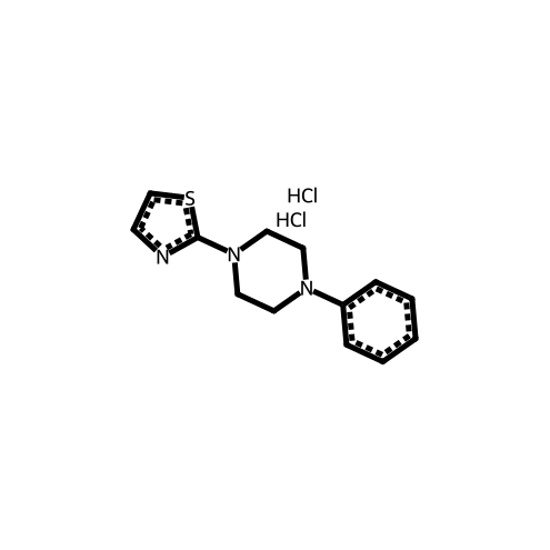 Cl.Cl.c1ccc(N2CCN(c3nccs3)CC2)cc1